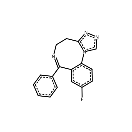 Fc1ccc2c(c1)C(c1ccccc1)=NCCc1nncn1-2